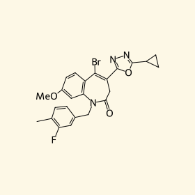 COc1ccc2c(c1)N(Cc1ccc(C)c(F)c1)C(=O)CC(c1nnc(C3CC3)o1)=C2Br